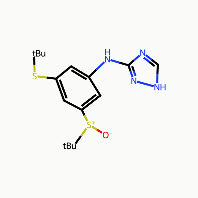 CC(C)(C)Sc1cc(Nc2nc[nH]n2)cc([S+]([O-])C(C)(C)C)c1